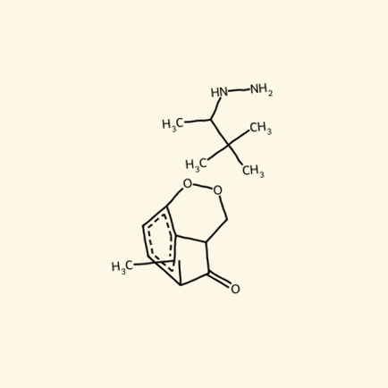 CC(NN)C(C)(C)C.Cc1c2ccc3c1C(COO3)C2=O